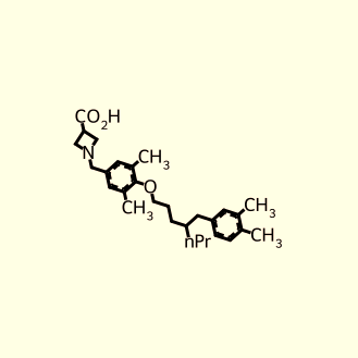 CCCC(CCCOc1c(C)cc(CN2CC(C(=O)O)C2)cc1C)Cc1ccc(C)c(C)c1